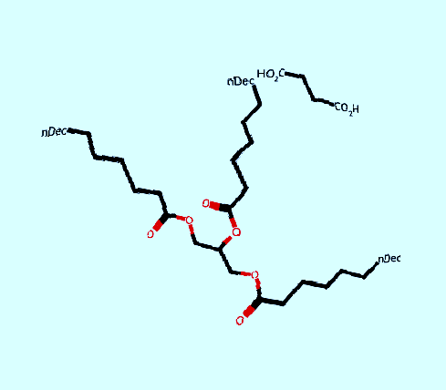 CCCCCCCCCCCCCCCC(=O)OCC(COC(=O)CCCCCCCCCCCCCCC)OC(=O)CCCCCCCCCCCCCCC.O=C(O)CCC(=O)O